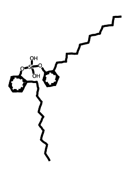 CCCCCCCCCCCCc1ccccc1O[Si](O)(O)Oc1ccccc1CCCCCCCCCCCC